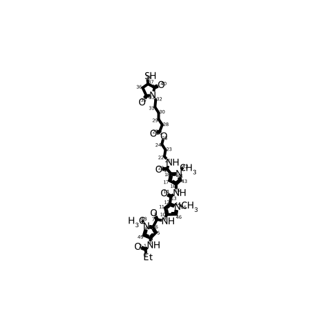 CCC(=O)Nc1cc(C(=O)Nc2cc(C(=O)Nc3cc(C(=O)NCCCOC(=O)CCCCCN4C(=O)CC(S)C4=O)n(C)c3)n(C)c2)n(C)c1